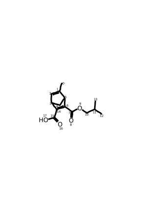 CC1=CC2CC1C(C(=O)OCC(C)C)=C2C(=O)O